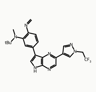 C=Nc1ccc(-c2c[nH]c3ncc(-c4cnn(CC(F)(F)F)c4)nc23)cc1N(C)C(C)(C)C